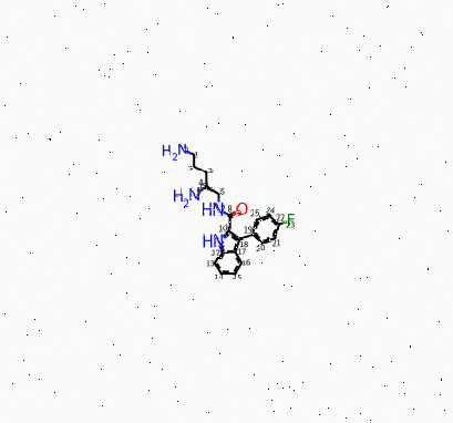 NCCC[C@H](N)CNC(=O)c1[nH]c2ccccc2c1-c1ccc(F)cc1